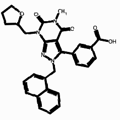 Cn1c(=O)c2c(-c3cccc(C(=O)O)c3)n(Cc3cccc4ccccc34)nc2n(CC2CCCO2)c1=O